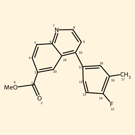 COC(=O)c1ccc2nccc(-c3ccc(F)c(C)c3)c2c1